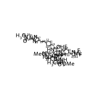 COC(=O)NC(C(=O)NC(Cc1ccc(C#Cc2cnc(N3CCN(C)C(=O)C3)nc2)cc1)C(O)CN(Cc1c(F)cc(-c2ccn(C(F)F)n2)cc1F)NC(=O)C(NC(=O)OC)C(C)(C)C(F)(F)F)C(C)(C)C(F)(F)F